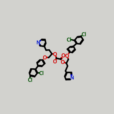 O=C(OC(CCc1cccnc1)COc1ccc(-c2ccc(Cl)cc2Cl)cc1)C(=O)OC(CCc1cccnc1)COc1ccc(-c2ccc(Cl)cc2Cl)cc1